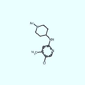 CC(=O)N1CCC(Nc2cc(C)c(Cl)cn2)CC1